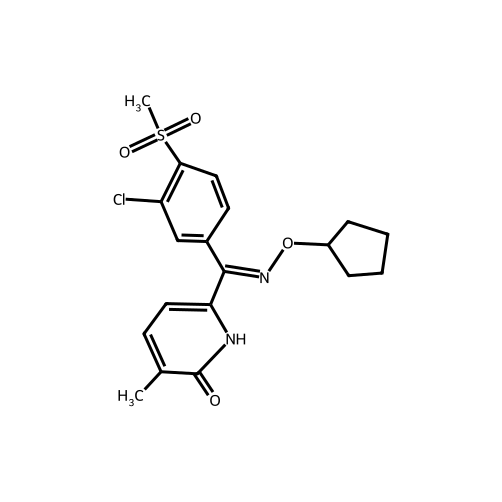 Cc1ccc(/C(=N/OC2CCCC2)c2ccc(S(C)(=O)=O)c(Cl)c2)[nH]c1=O